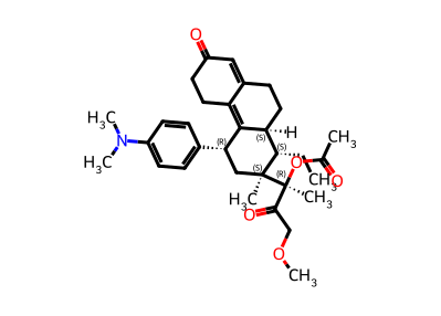 CC[C@H]1[C@@H]2CCC3=CC(=O)CCC3=C2[C@@H](c2ccc(N(C)C)cc2)C[C@]1(C)[C@@](C)(OC(C)=O)C(=O)COC